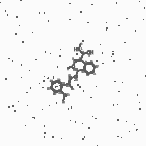 CNC(O)/C(=N/OC)c1ccccc1CO/N=C(\C)c1ccccc1OC